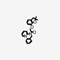 CC1(C)Cc2cccc(OCC(=O)N(Cc3ccccc3)c3ccccn3)c2O1